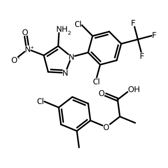 Cc1cc(Cl)ccc1OC(C)C(=O)O.Nc1c([N+](=O)[O-])cnn1-c1c(Cl)cc(C(F)(F)F)cc1Cl